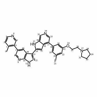 Cc1ccncc1-c1cnc2[nH]nc(-c3cc4c(-c5cc(F)cc(OCCN6CCCC6)c5)cncc4[nH]3)c2c1